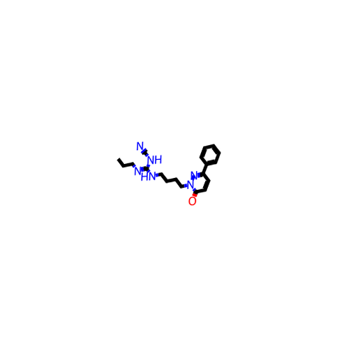 CCC/N=C(\NC#N)NCCCCn1nc(-c2ccccc2)ccc1=O